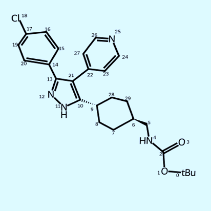 CC(C)(C)OC(=O)NC[C@H]1CC[C@H](c2[nH]nc(-c3ccc(Cl)cc3)c2-c2ccncc2)CC1